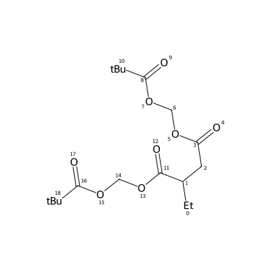 CCC(CC(=O)OCOC(=O)C(C)(C)C)C(=O)OCOC(=O)C(C)(C)C